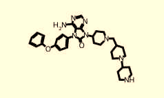 Nc1ncnc2c1n(-c1ccc(Oc3ccccc3)cc1)c(=O)n2C1CCN(CC2CCN(C3CCNCC3)CC2)CC1